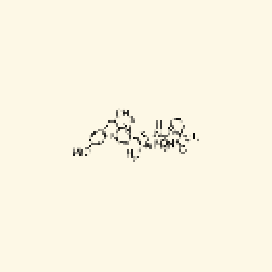 COc1ccc(CC(C)c2nccc(-c3sc(NC(=O)N4CCC[C@@]4(C)C(N)=O)nc3C)n2)cc1